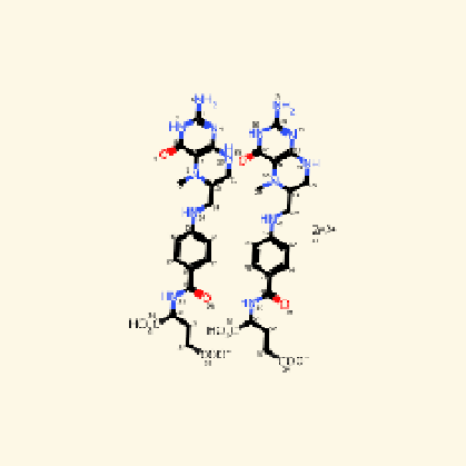 CN1c2c(nc(N)[nH]c2=O)NCC1CNc1ccc(C(=O)NC(CCC(=O)[O-])C(=O)O)cc1.CN1c2c(nc(N)[nH]c2=O)NCC1CNc1ccc(C(=O)NC(CCC(=O)[O-])C(=O)O)cc1.[Zn+2]